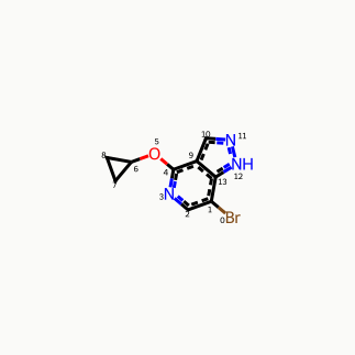 Brc1cnc(OC2CC2)c2cn[nH]c12